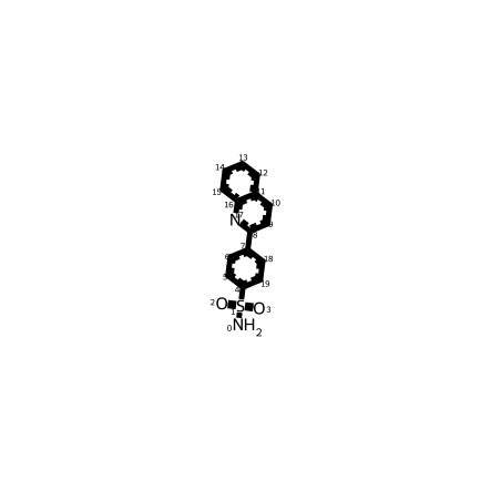 NS(=O)(=O)c1ccc(-c2ccc3ccccc3n2)cc1